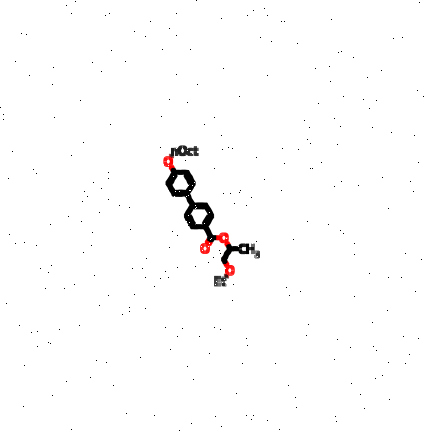 CCCCCCCCOc1ccc(-c2ccc(C(=O)OC(C)COCC)cc2)cc1